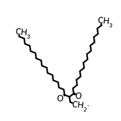 [CH2]CC(C(=O)CCCCCCCCCCCCCCCCC)C(=O)CCCCCCCCCCCCCCCCC